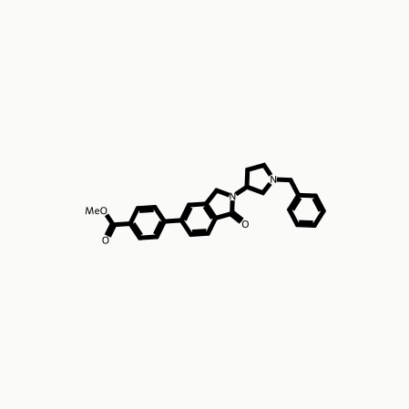 COC(=O)c1ccc(-c2ccc3c(c2)CN(C2CCN(Cc4ccccc4)C2)C3=O)cc1